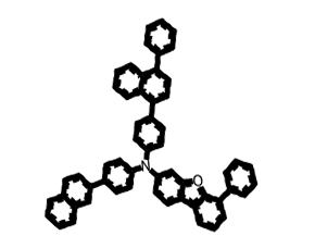 c1ccc(-c2ccc(-c3ccc(N(c4ccc(-c5ccc6ccccc6c5)cc4)c4ccc5c(c4)oc4c(-c6ccccc6)cccc45)cc3)c3ccccc23)cc1